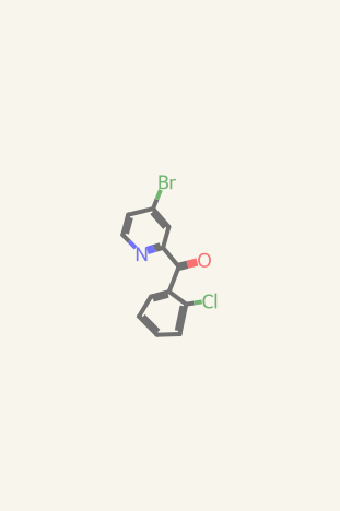 O=C(c1cc(Br)ccn1)c1ccccc1Cl